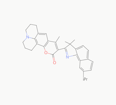 Cc1c(C2=Nc3c(ccc4ccc(C(C)C)cc34)C2(C)C)c(=O)oc2c3c4c(cc12)CCCN4CCC3